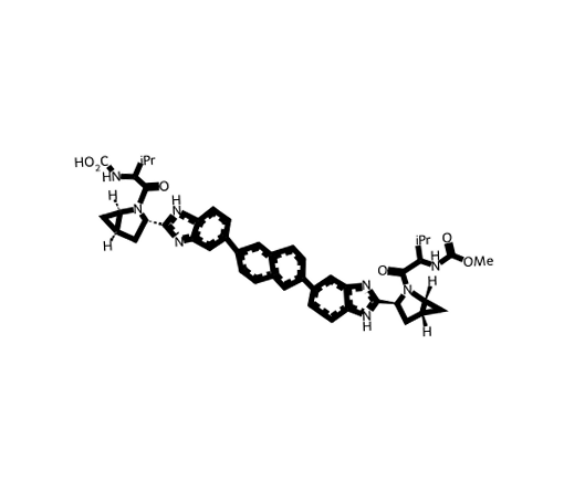 COC(=O)NC(C(=O)N1[C@@H]2C[C@@H]2C[C@H]1c1nc2cc(-c3ccc4cc(-c5ccc6[nH]c([C@@H]7C[C@H]8C[C@H]8N7C(=O)C(NC(=O)O)C(C)C)nc6c5)ccc4c3)ccc2[nH]1)C(C)C